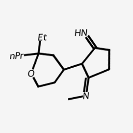 CCCC1(CC)CC(C2C(=N)CC/C2=N/C)CCO1